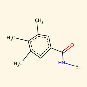 CCNC(=O)c1cc(C)c(C)c(C)c1